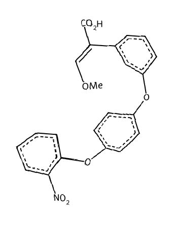 CO/C=C(/C(=O)O)c1cccc(Oc2ccc(Oc3ccccc3[N+](=O)[O-])cc2)c1